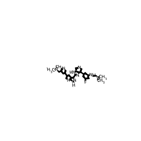 CN(C)CCNc1cc(F)cc(-c2cncc3[nH]c(-c4n[nH]c5ncc(-c6cncc(CN(C)C)c6)cc45)nc23)c1